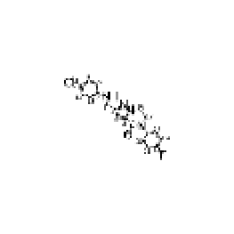 O=C1c2cc(CNc3ccc(Cl)cc3)nn2CCN1c1ccc(F)cc1